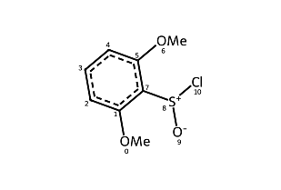 COc1cccc(OC)c1[S+]([O-])Cl